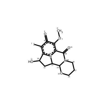 COc1c2n3c(c(I)c1=O)C(O)CC3C1OCCCN1C2=O